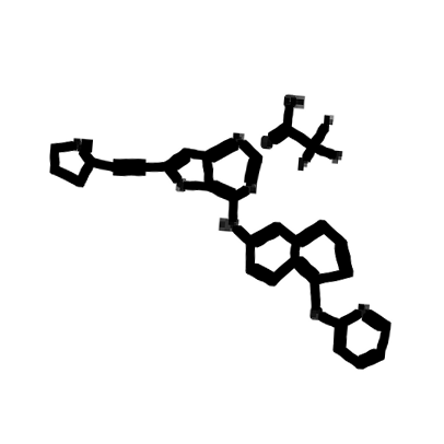 C(#CC1CCCN1)c1cc2ncnc(Nc3ccc4c(Oc5ccccn5)cccc4c3)c2s1.O=C(O)C(F)(F)F